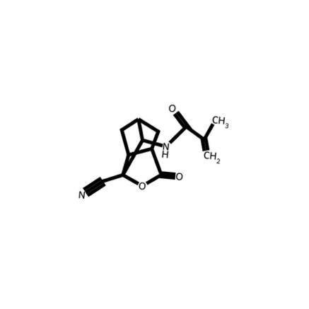 C=C(C)C(=O)NC1C2CC3C(=O)OC1(C#N)C3C2